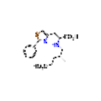 CC(CCC(=O)O)CNC(Cc1csc(-c2ccccc2)n1)C(=O)O